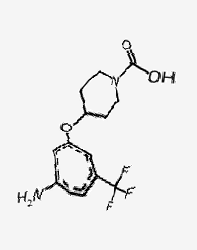 Nc1cc(OC2CCN(C(=O)O)CC2)cc(C(F)(F)F)c1